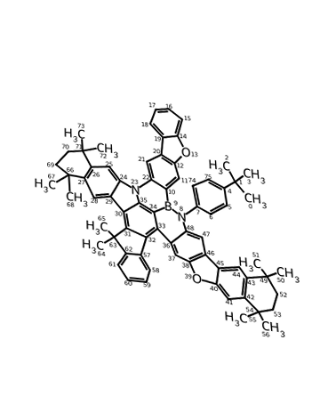 CC(C)(C)c1ccc(N2B3c4cc5oc6ccccc6c5cc4-n4c5cc6c(cc5c5c7c(c(c3c54)-c3cc4oc5cc8c(cc5c4cc32)C(C)(C)CCC8(C)C)-c2ccccc2C7(C)C)C(C)(C)CCC6(C)C)cc1